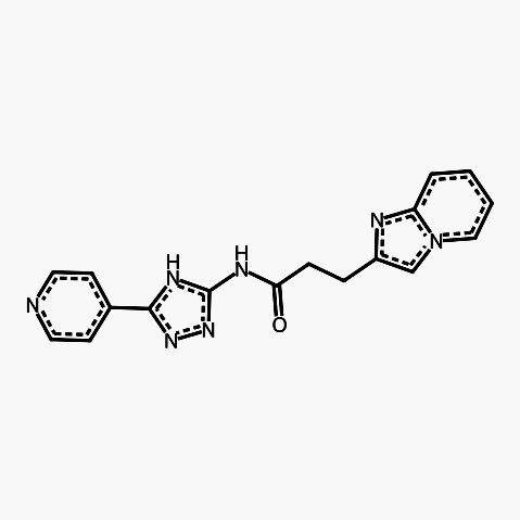 O=C(CCc1cn2ccccc2n1)Nc1nnc(-c2ccncc2)[nH]1